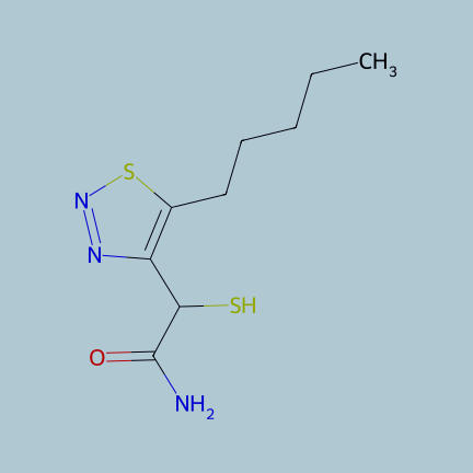 CCCCCc1snnc1C(S)C(N)=O